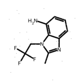 Cc1nc2cccc(N)c2n1CC(F)(F)F